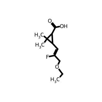 CCOCC(F)=CC1C(C(=O)O)C1(C)C